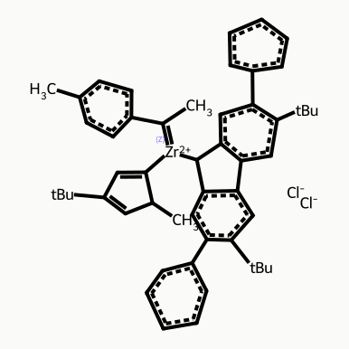 C/[C](c1ccc(C)cc1)=[Zr+2](/[C]1=CC(C(C)(C)C)=CC1C)[CH]1c2cc(-c3ccccc3)c(C(C)(C)C)cc2-c2cc(C(C)(C)C)c(-c3ccccc3)cc21.[Cl-].[Cl-]